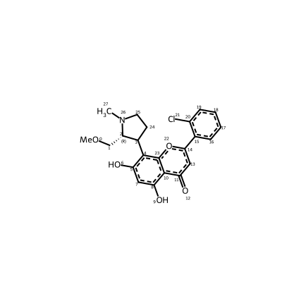 COC[C@H]1C(c2c(O)cc(O)c3c(=O)cc(-c4ccccc4Cl)oc23)CCN1C